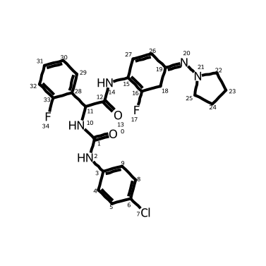 O=C(Nc1ccc(Cl)cc1)NC(C(=O)NC1=C(F)CC(=NN2CCCC2)C=C1)c1ccccc1F